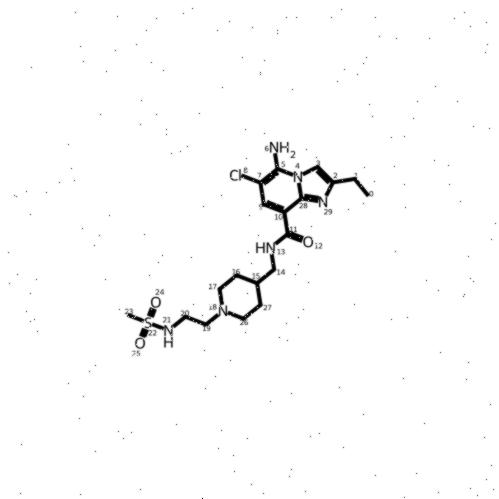 CCc1cn2c(N)c(Cl)cc(C(=O)NCC3CCN(CCNS(C)(=O)=O)CC3)c2n1